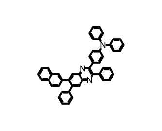 c1ccc(-c2cc3nc(-c4ccccc4)c(-c4ccc(N(c5ccccc5)c5ccccc5)cc4)nc3cc2-c2ccc3ccccc3c2)cc1